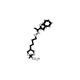 CC(=NOCCCCC1COC(C)(C(=O)O)OC1)c1cc2ccccc2o1